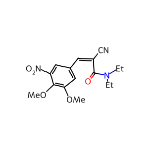 CCN(CC)C(=O)C(C#N)=Cc1cc(OC)c(OC)c([N+](=O)[O-])c1